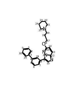 c1ccc(-c2cccc(-c3cnc4ccc(OCCCN5CCCCC5)nn34)c2)cc1